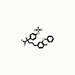 CC(CCCc1ccc(F)c(Oc2ccccc2)c1)(c1ccc(OS(C)(=O)=O)cc1)C(F)F